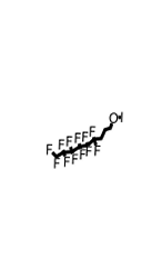 FC(F)C(F)(F)C(F)(F)C(F)(F)C(F)(F)C(F)(F)CCCOI